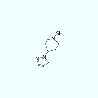 SN1CCC(n2cccn2)CC1